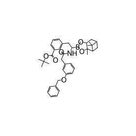 CC(C)(C)OC(=O)c1cccc(CC(NC(=O)Cc2cccc(OCc3ccccc3)c2)B2OC3CC4CC(C4(C)C)C3(C)O2)c1